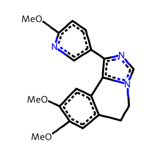 COc1ccc(-c2ncn3c2-c2cc(OC)c(OC)cc2CC3)cn1